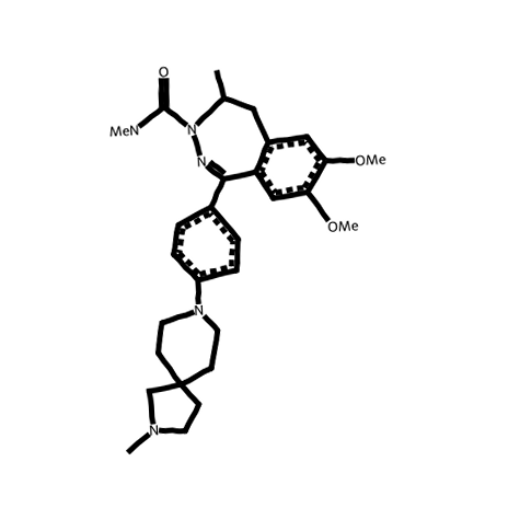 CNC(=O)N1N=C(c2ccc(N3CCC4(CCN(C)C4)CC3)cc2)c2cc(OC)c(OC)cc2CC1C